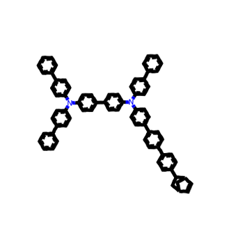 C1=CC2CC1CC2c1ccc(-c2ccc(-c3ccc(N(c4ccc(-c5ccccc5)cc4)c4ccc(-c5ccc(N(c6ccc(-c7ccccc7)cc6)c6ccc(-c7ccccc7)cc6)cc5)cc4)cc3)cc2)cc1